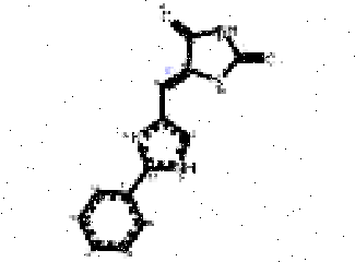 O=C1NC(=O)/C(=C/c2c[nH]c(-c3ccccc3)n2)S1